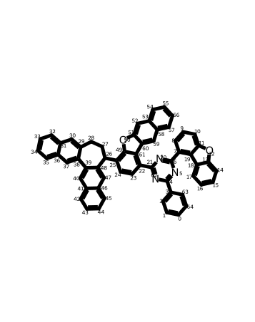 c1ccc(-c2nc(-c3cccc4oc5ccccc5c34)nc(-c3ccc(C4CCc5cc6ccccc6cc5-c5cc6ccccc6cc54)c4oc5cc6ccccc6cc5c34)n2)cc1